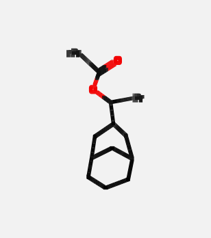 CCCC(=O)OC(C(C)C)C1CC2CCCC(C2)C1